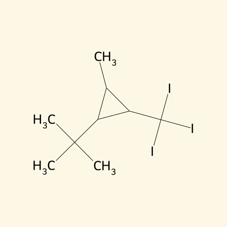 CC1C(C(C)(C)C)C1C(I)(I)I